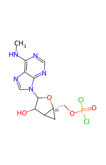 CNc1ncnc2c1ncn2C1O[C@@]2(COP(=O)(Cl)Cl)CC2C1O